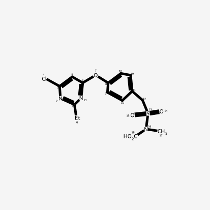 CCc1nc(Cl)cc(Oc2ccc(CS(=O)(=O)N(C)C(=O)O)cc2)n1